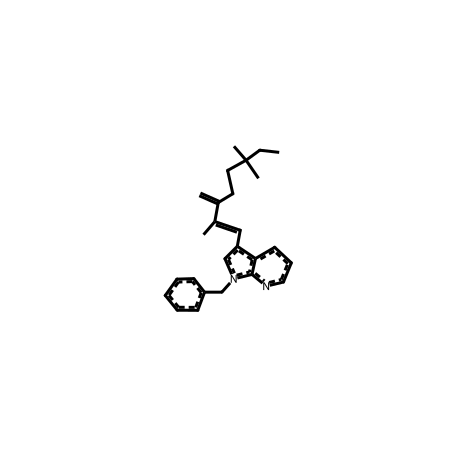 C=C(CCC(C)(C)CC)/C(C)=C/c1cn(Cc2ccccc2)c2ncccc12